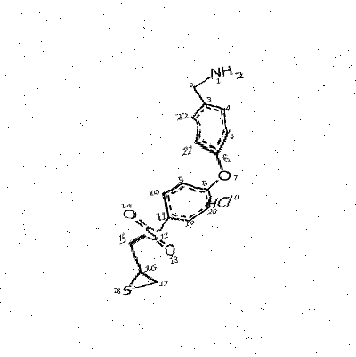 Cl.NCc1ccc(Oc2ccc(S(=O)(=O)CC3CS3)cc2)cc1